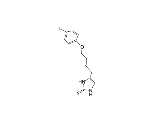 S=c1[nH]cc(CSCCOc2ccc(I)cc2)[nH]1